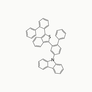 c1ccc(-c2ccccc2-c2sc(-c3cc(-n4c5ccccc5c5ccccc54)ccc3-c3ccccc3)c3ccccc23)cc1